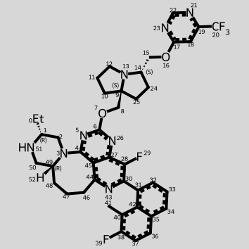 CC[C@@H]1CN2c3nc(OC[C@@]45CCCN4[C@H](COc4cc(C(F)(F)F)ncn4)CC5)nc4c(F)c(-c5cccc6ccc(F)c(C)c56)nc(c34)CCC[C@@H]2CN1